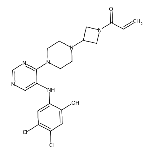 C=CC(=O)N1CC(N2CCN(c3ncncc3Nc3cc(Cl)c(Cl)cc3O)CC2)C1